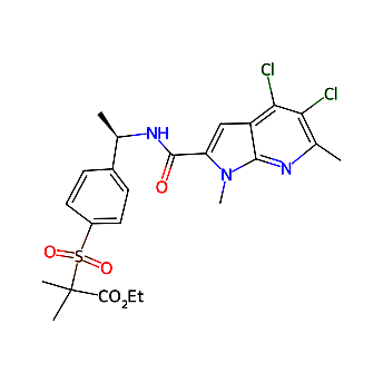 CCOC(=O)C(C)(C)S(=O)(=O)c1ccc([C@@H](C)NC(=O)c2cc3c(Cl)c(Cl)c(C)nc3n2C)cc1